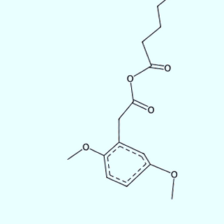 [CH2]CCCC(=O)OC(=O)Cc1cc(OC)ccc1OC